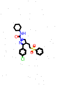 O=C(NC1CCCCC1)N1CC(CCS(=O)(=O)c2ccccc2)C(c2ccc(Cl)cc2)=N1